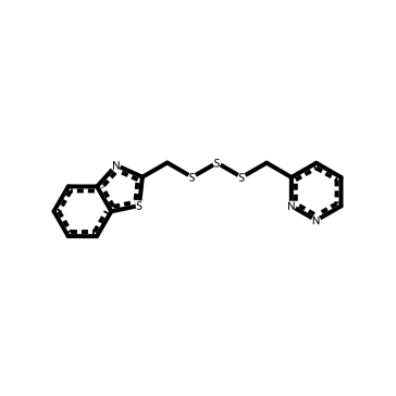 c1cnnc(CSSSCc2nc3ccccc3s2)c1